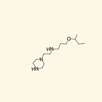 CCC(C)OCCCNCCN1CCNCC1